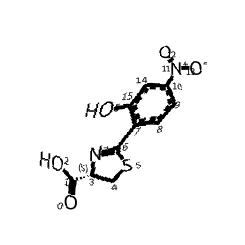 O=C(O)[C@H]1CSC(c2ccc([N+](=O)[O-])cc2O)=N1